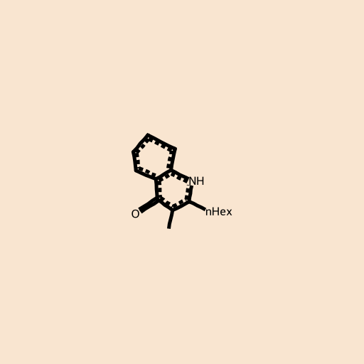 CCCCCCc1[nH]c2ccccc2c(=O)c1C